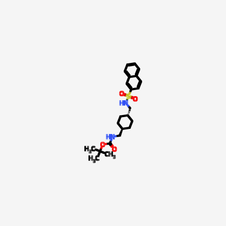 CC(C)(C)OC(=O)NC[C@H]1CC[C@H](CNS(=O)(=O)c2ccc3ccccc3c2)CC1